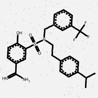 CC(C)c1ccc(CCN(Cc2cccc(C(F)(F)F)c2)S(=O)(=O)c2cc(C(=N)N)ccc2O)cc1